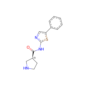 O=C(Nc1ncc(-c2ccccc2)s1)[C@H]1CCNC1